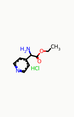 CCOC(=O)C(N)c1ccncc1.Cl